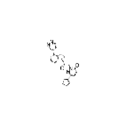 O=C(Cn1nc(C2=CCCC2)ccc1=O)N1CCc2c(-c3ccnnc3)cccc21